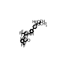 CC(C)(C)OC(=O)N1CCC(c2ccc(Nc3ncc(C(F)(F)F)c(CCc4cccc(C(F)(F)F)c4CC(N)=O)n3)cc2)CC1